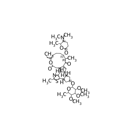 CC[C@H]1CCC[C@H](O[C@H]2CC[C@H](N(C)C)C(C)O2)[C@@H](C)C(=O)C2=C[C@H]3[C@@H]4C[C@H](OC5OC(C)C(OC)C(OC)C5OC)C[C@H]4c4sc(C)nc4[C@H]3[C@@H]2CC(=O)O1